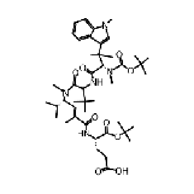 C/C(=C\[C@H](C(C)C)N(C)C(=O)C(NC(=O)[C@@H](N(C)C(=O)OC(C)(C)C)C(C)(C)c1cn(C)c2ccccc12)C(C)(C)C)C(=O)N[C@@H](CCC(=O)O)C(=O)OC(C)(C)C